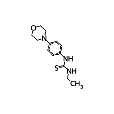 CCNC(=S)Nc1ccc(N2CCOCC2)cc1